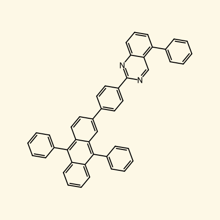 c1ccc(-c2cccc3nc(-c4ccc(-c5ccc6c(-c7ccccc7)c7ccccc7c(-c7ccccc7)c6c5)cc4)ncc23)cc1